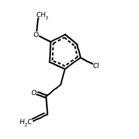 C=CC(=O)Cc1cc(OC)ccc1Cl